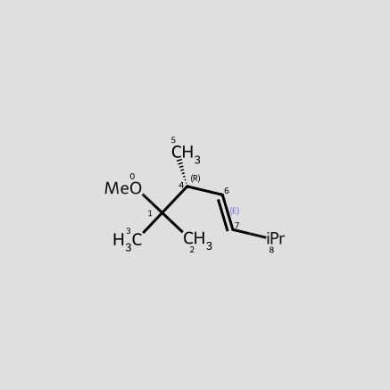 COC(C)(C)[C@H](C)/C=C/C(C)C